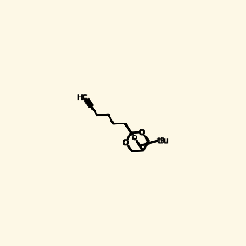 C#CCCCCC12OCC(CO1)C(C(C)(C)C)O2